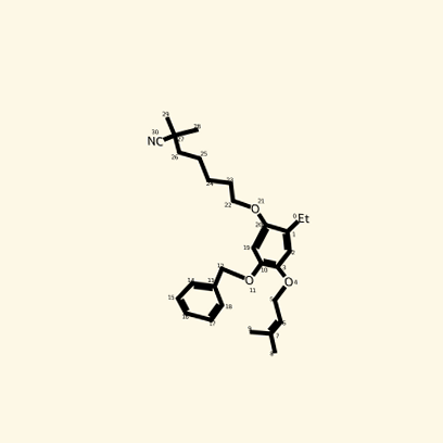 CCc1cc(OCC=C(C)C)c(OCc2ccccc2)cc1OCCCCCC(C)(C)C#N